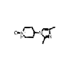 [CH2-][NH+]1CCC(n2cc(C)nc2C)CC1